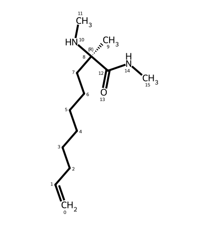 C=CCCCCCC[C@@](C)(NC)C(=O)NC